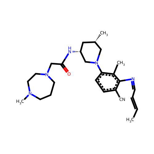 C/C=C/C=N\c1c(C#N)ccc(N2C[C@@H](C)C[C@@H](NC(=O)CN3CCCN(C)CC3)C2)c1C